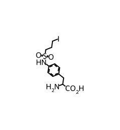 NC(Cc1ccc(NS(=O)(=O)CCCI)cc1)C(=O)O